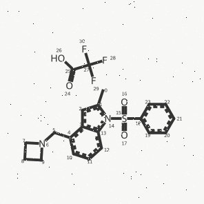 Cc1cc2c(CN3CCC3)cccc2n1S(=O)(=O)c1ccccc1.O=C(O)C(F)(F)F